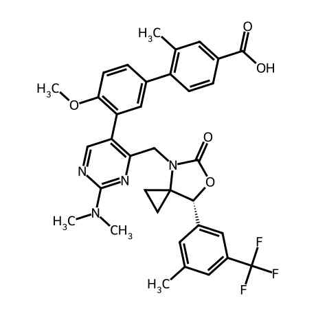 COc1ccc(-c2ccc(C(=O)O)cc2C)cc1-c1cnc(N(C)C)nc1CN1C(=O)O[C@H](c2cc(C)cc(C(F)(F)F)c2)C12CC2